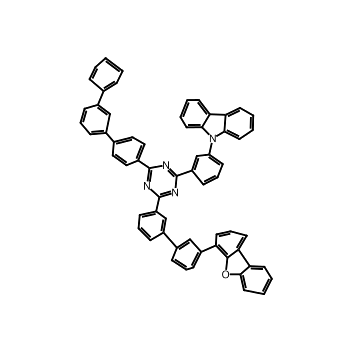 c1ccc(-c2cccc(-c3ccc(-c4nc(-c5cccc(-c6cccc(-c7cccc8c7oc7ccccc78)c6)c5)nc(-c5cccc(-n6c7ccccc7c7ccccc76)c5)n4)cc3)c2)cc1